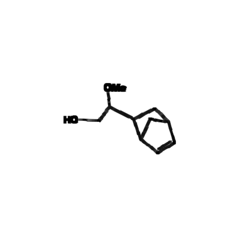 COC(CO)C1CC2C=CC1C2